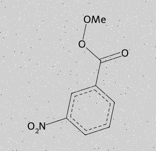 COOC(=O)c1cccc([N+](=O)[O-])c1